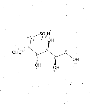 O=C[C@H](NS(=O)(=O)O)[C@@H](O)[C@@H](O)[C@H](O)CO